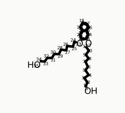 OCCCCCCCCCCCOc1cc2ccccc2cc1OCCCCCCCCCCCO